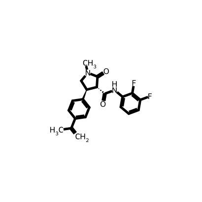 C=C(C)c1ccc([C@H]2CN(C)C(=O)[C@@H]2C(=O)Nc2cccc(F)c2F)cc1